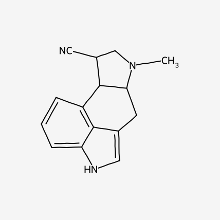 CN1CC(C#N)C2c3cccc4[nH]cc(c34)CC21